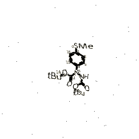 CSc1ccc(N(NC(=O)OC(C)(C)C)C(=O)OC(C)(C)C)cc1